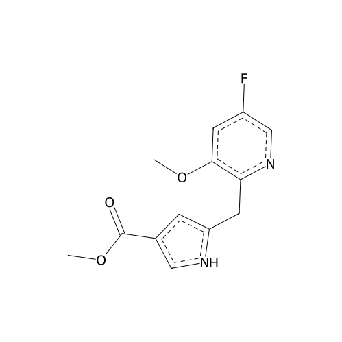 COC(=O)c1c[nH]c(Cc2ncc(F)cc2OC)c1